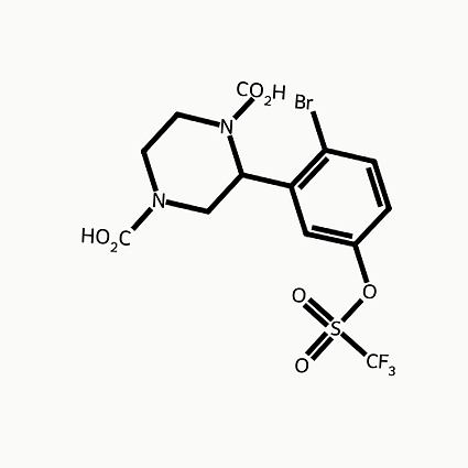 O=C(O)N1CCN(C(=O)O)C(c2cc(OS(=O)(=O)C(F)(F)F)ccc2Br)C1